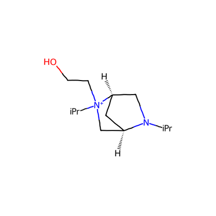 CC(C)N1C[C@H]2C[C@@H]1C[N+]2(CCO)C(C)C